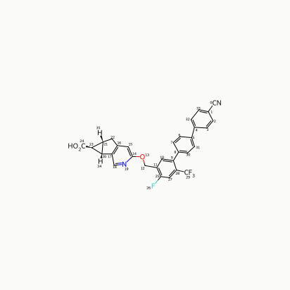 N#Cc1ccc(-c2ccc(-c3cc(COc4cc5c(cn4)[C@H]4[C@@H](C5)[C@@H]4C(=O)O)c(F)cc3C(F)(F)F)cc2)cc1